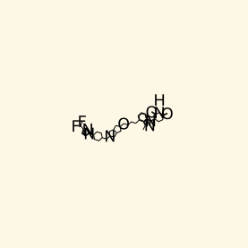 Cc1nn(C2CCC(=O)NC2=O)c2cccc(CCCOC3CC4CN(CC5CCC(n6ccc(C(F)F)n6)CC5)CC4C3)c12